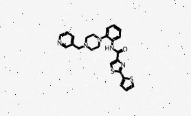 O=C(Nc1ccccc1N1CCN(Cc2cccnc2)CC1)c1csc(-c2cccs2)n1